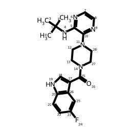 CC(C)(C)Nc1nccnc1N1CCN(C(=O)c2c[nH]c3ccc(F)cc23)CC1